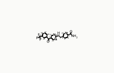 NC(=O)c1ccc(CNc2ncc(C(=O)c3cccc(C(F)(F)F)c3)cn2)cn1